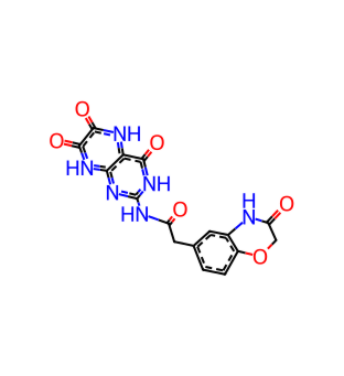 O=C(Cc1ccc2c(c1)NC(=O)CO2)Nc1nc2[nH]c(=O)c(=O)[nH]c2c(=O)[nH]1